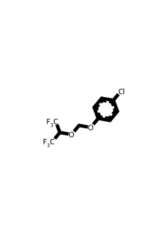 FC(F)(F)[C](OCOc1ccc(Cl)cc1)C(F)(F)F